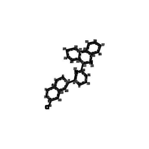 Clc1ccc2ccc(-c3cccc(-c4nc5ccccc5c5ccccc45)n3)cc2c1